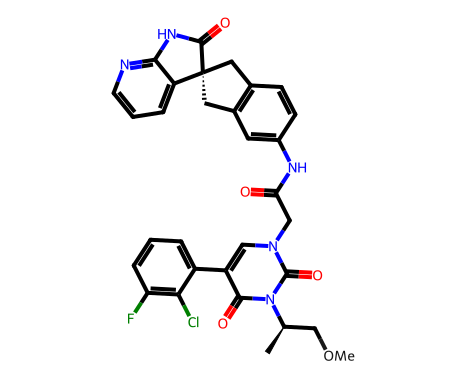 COC[C@@H](C)n1c(=O)c(-c2cccc(F)c2Cl)cn(CC(=O)Nc2ccc3c(c2)C[C@@]2(C3)C(=O)Nc3ncccc32)c1=O